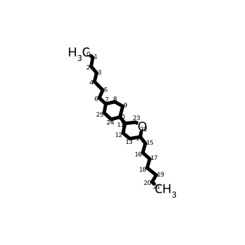 CCCCCCCC1CCC(C2CCC(CCCCCCC)OC2)CC1